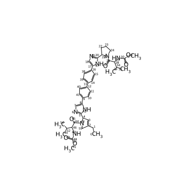 CCC1=CC(c2ncc(-c3ccc(-c4ccc(-c5cnc(C6CCCN6C(=O)C(NC(=O)OC)C(C)C)[nH]5)cc4)cc3)[nH]2)N(C(=O)C(NC(=O)OC)C(C)C)C1